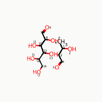 CC(O)CC=O.O=CC(O)C(O)C(O)C(O)CO